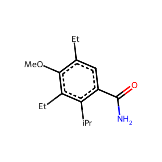 CCc1cc(C(N)=O)c(C(C)C)c(CC)c1OC